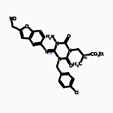 CCOC(=O)[C@@H](C)Cn1c(=O)n(N)/c(=N\c2ccc3oc(CN=O)cc3c2)n(Cc2ccc(Cl)cc2)c1=O